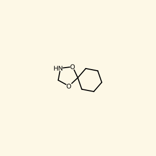 C1CCC2(CC1)OCNO2